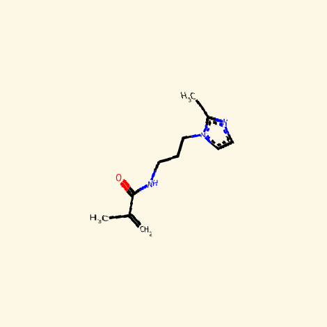 C=C(C)C(=O)NCCCn1ccnc1C